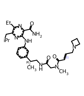 CCc1nc(C(N)=O)c(Nc2cccc([C@@H](C)CNC(=O)CN(C)C(=O)/C=C/CN3CCC3)c2)nc1CC(C)C